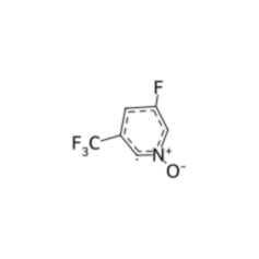 [O-][n+]1[c]c(C(F)(F)F)cc(F)c1